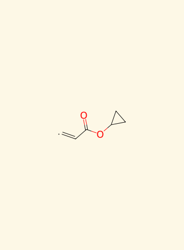 [CH]=CC(=O)OC1CC1